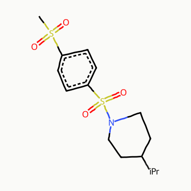 CC(C)C1CCN(S(=O)(=O)c2ccc(S(C)(=O)=O)cc2)CC1